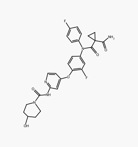 NC(=O)C1(C(=O)N(c2ccc(F)cc2)c2ccc(Oc3ccnc(NC(=O)N4CCC(O)CC4)c3)c(F)c2)CC1